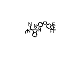 [C-]#[N+]/C(C#N)=C1\c2ccccc2-c2nc3cc(Oc4ccc(C(F)(F)F)c(F)c4)ccc3nc21